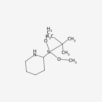 CO[Si](OC)(C1CCCCN1)C(C)(C)C